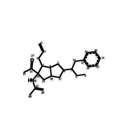 C=CCC1C2CC(C(CC)Cc3ccccc3)CC2CC1(NC(=C)C)C(C)=O